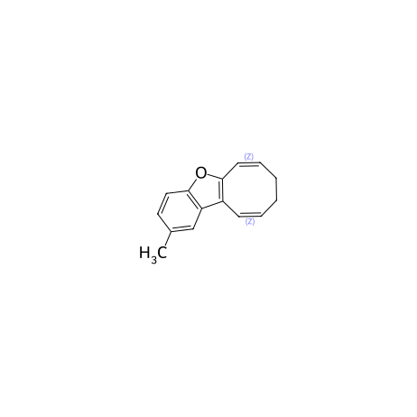 Cc1ccc2oc3c(c2c1)/C=C\CC/C=C\3